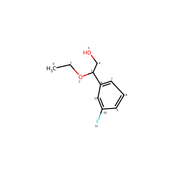 CCOC(CO)c1cccc(F)c1